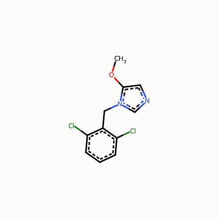 COc1cncn1Cc1c(Cl)cccc1Cl